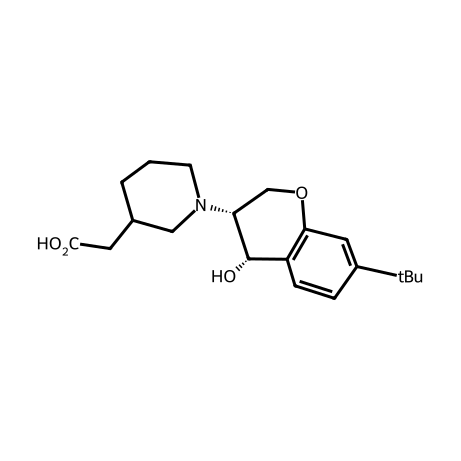 CC(C)(C)c1ccc2c(c1)OC[C@@H](N1CCCC(CC(=O)O)C1)[C@H]2O